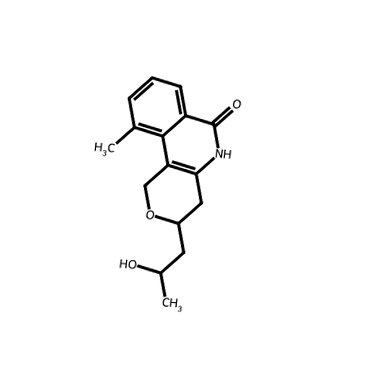 Cc1cccc2c(=O)[nH]c3c(c12)COC(CC(C)O)C3